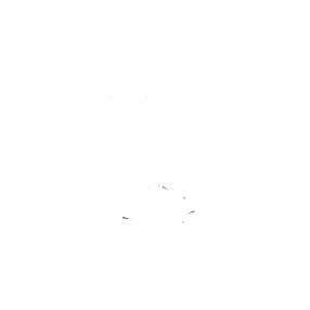 C[C@H](C=O)[C@H]1[C@@H]2CC[C@@H](C2)CN1C(=O)OCC[Si](C)(C)C